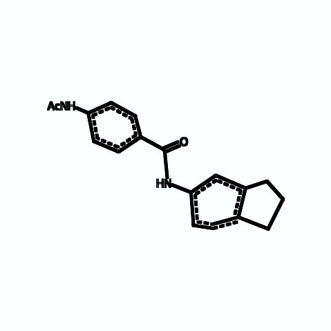 CC(=O)Nc1ccc(C(=O)Nc2ccc3c(c2)CCC3)cc1